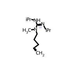 C=CCCCN(C)/C(=N\C(C)C)NC(C)C